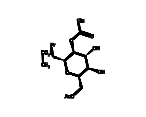 CC(=O)O.CC(=O)OC[C@H]1O[C@H](CC(C)C)[C@@H](OC(=O)C(C)(C)C)[C@H](O)[C@H]1O